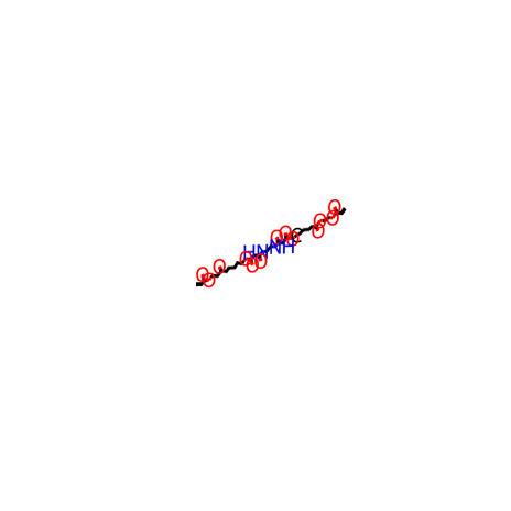 C=CC(=O)OCCOC(=O)CCCCCOC(=O)CC(=O)NCCNC(=O)CC(=O)OCCCCCC(=O)CCOC(=O)C=C